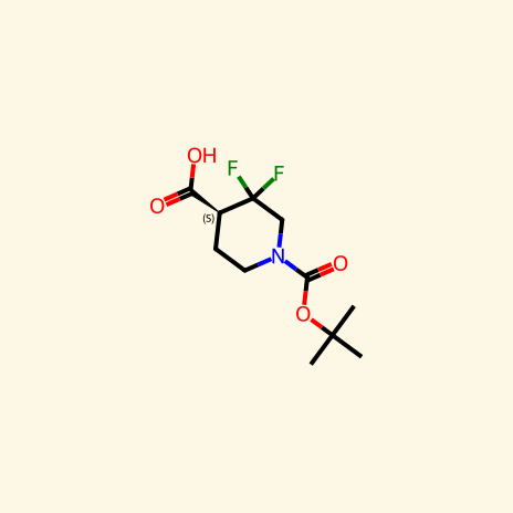 CC(C)(C)OC(=O)N1CC[C@@H](C(=O)O)C(F)(F)C1